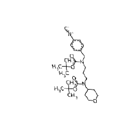 [C-]#[N+]c1ccc(CN(CCCN(C(=O)OC(C)(C)C)C2CCOCC2)C(=O)OC(C)(C)C)cc1